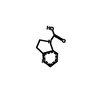 O=C(O)N1CCc2ncccc21